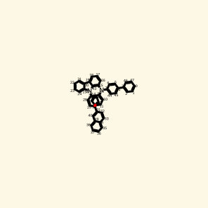 c1ccc(-c2ccc(N(c3ccccc3)c3cccc4c5ccccc5n(-c5ccc(-c6ccc7ccccc7c6)cc5)c34)cc2)cc1